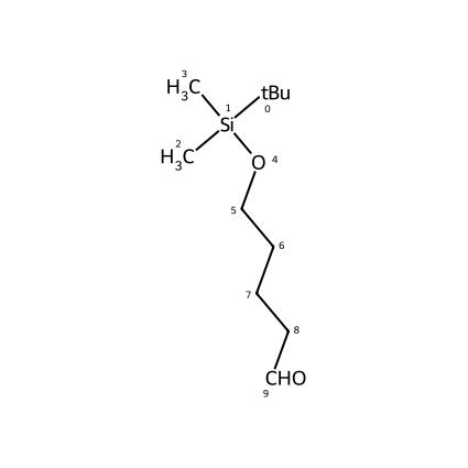 CC(C)(C)[Si](C)(C)OCCCCC=O